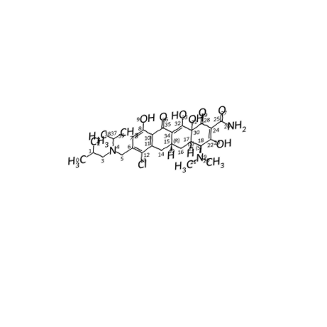 CC(C)CN(Cc1cc(O)c2c(c1Cl)C[C@H]1C[C@H]3[C@H](N(C)C)C(O)=C(C(N)=O)C(=O)C3(O)C(O)=C1C2=O)C(C)C